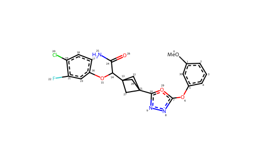 COc1cccc(Oc2nnc(C34CC(C(Oc5ccc(Cl)c(F)c5)C(N)=O)(C3)C4)o2)c1